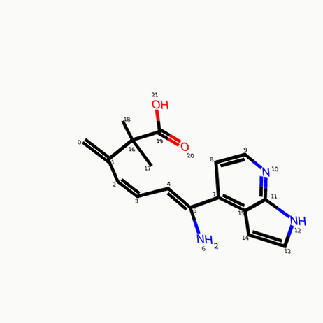 C=C(/C=C\C=C(/N)c1ccnc2[nH]ccc12)C(C)(C)C(=O)O